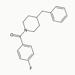 O=C(c1ccc(F)cc1)N1CCC(Cc2ccccc2)CC1